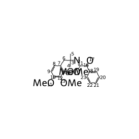 COC(=NC(C)(C)Cc1ccc(OC)c(OC)c1OC)C(=O)c1ccccc1